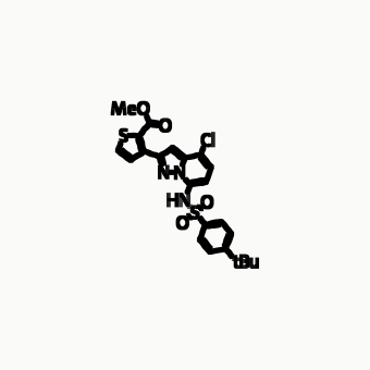 COC(=O)c1sccc1-c1cc2c(Cl)ccc(NS(=O)(=O)c3ccc(C(C)(C)C)cc3)n2n1